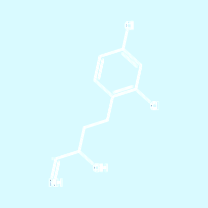 N=[C]C(O)CCc1ccc(Cl)cc1Cl